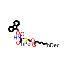 CCCCCCCCCCCCCCCC(=O)OCCSC[C@H](NC(=O)OCC1c2ccccc2-c2ccccc21)C(=O)CCCCC